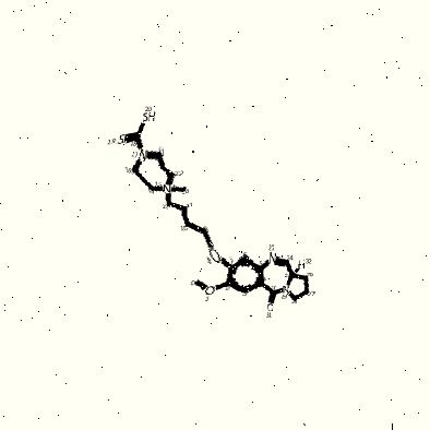 COc1cc2c(cc1OCCCC[N+]1(C)CCN(C(=S)S)CC1)N=C[C@@H]1CCCN1C2=O